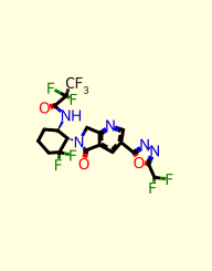 O=C1c2cc(-c3nnc(C(F)F)o3)cnc2CN1[C@H]1[C@H](NC(=O)C(F)(F)C(F)(F)F)CCCC1(F)F